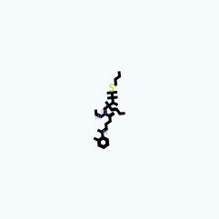 C=C(CC/C=C(\C)c1ccccc1C)C(/C=C\C)=C\C(C)(C=CCC)C(C)C(C)(C)C(C)(C)SCCCC